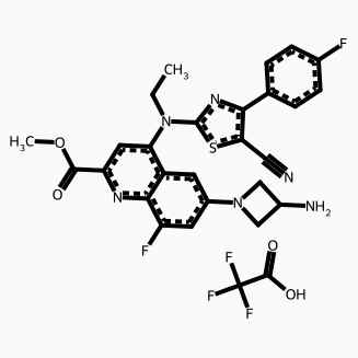 CCN(c1nc(-c2ccc(F)cc2)c(C#N)s1)c1cc(C(=O)OC)nc2c(F)cc(N3CC(N)C3)cc12.O=C(O)C(F)(F)F